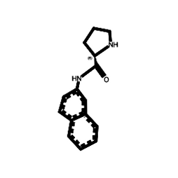 O=C(Nc1ccc2ccccc2c1)[C@H]1CCCN1